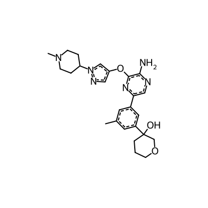 Cc1cc(-c2cnc(N)c(Oc3cnn(C4CCN(C)CC4)c3)n2)cc(C2(O)CCCOC2)c1